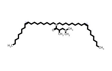 CCCCCCCC/C=C\CCCCCCCCN(CCCCCCCC/C=C\CCCCCCCC)C(=O)C(C)CN(C)C